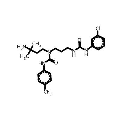 CC(C)(N)CCN(CCCNC(=O)Nc1cccc(Cl)c1)C(=O)Nc1ccc(C(F)(F)F)cc1